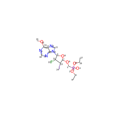 CCOP(=O)(COC1OC(n2cnc3c(OC)ncnc32)C(F)C1I)OCC